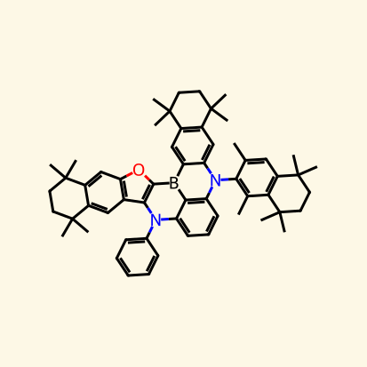 Cc1cc2c(c(C)c1N1c3cc4c(cc3B3c5oc6cc7c(cc6c5N(c5ccccc5)c5cccc1c53)C(C)(C)CCC7(C)C)C(C)(C)CCC4(C)C)C(C)(C)CCC2(C)C